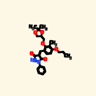 CCCOc1ccc(C=C2C(=O)NN(c3ccccc3)C2=O)c(OCC2COC(C)(C)O2)c1C